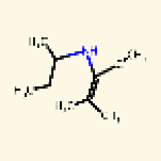 CCC(NC(C)CC)=C(C)C